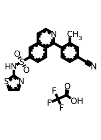 Cc1cc(C#N)ccc1-c1nccc2cc(S(=O)(=O)Nc3nccs3)ccc12.O=C(O)C(F)(F)F